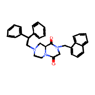 O=C1C2CN(CC(c3ccccc3)c3ccccc3)CCN2C(=O)CN1Cc1cccc2ccccc12